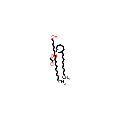 CCCCCCCCCCC1CCCCCCC1.CCCCCCCCCCCCCCCCCCO.OCCO